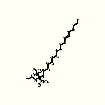 CCCCCC=CCCCCCCCCCCCC(CCC)(P(=O)=O)[N+](C)(C)C